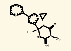 CN1C(=N)N[C@](C)(c2cc(-c3ccccn3)cs2)[C@H](C2CC2)C1=O